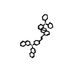 C1=CC2=CCC(N(C3=CCC(/C=C/C4C=CC5C6=CCC(N(C7=CCCCC7)C7CCCCC7)C7=C6CC4C5C7)CC3)C3C=CC4C=CCCC4C3)CC2CC1